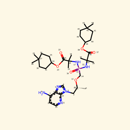 C[C@H](Cn1cnc2c(N)ccnc21)OCP(=O)(NC(C)(C)C(=O)OC1CCC(C)(C)CC1)NC(C)(C)C(=O)OC1CCC(C)(C)CC1